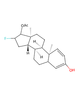 CC(=O)OC1C(F)C[C@H]2[C@@H]3CCC4C=C(O)C=C[C@]4(C)[C@@H]3CC[C@]12C